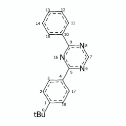 CC(C)(C)c1ccc(-c2ncnc(-c3ccccc3)n2)cc1